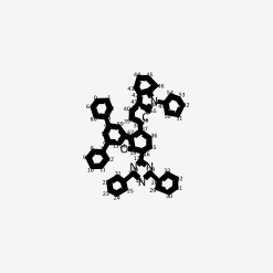 c1ccc(-c2cc(-c3ccccc3)c3oc4c(-c5nc(-c6ccccc6)nc(-c6ccccc6)n5)ccc(-c5ccc6c7ccccc7n(-c7ccccc7)c6c5)c4c3c2)cc1